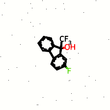 OC1(C(F)(F)F)c2ccccc2-c2ccc(F)cc21